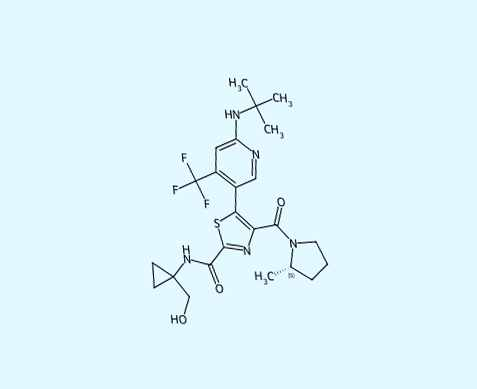 C[C@H]1CCCN1C(=O)c1nc(C(=O)NC2(CO)CC2)sc1-c1cnc(NC(C)(C)C)cc1C(F)(F)F